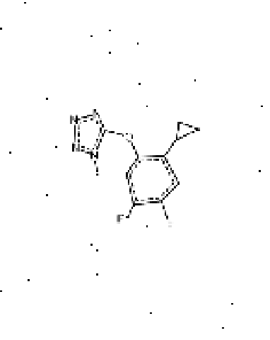 CC(C)c1cc(Oc2nnnn2C)c(C2CC2)cc1F